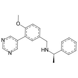 COc1ccc(CN[C@H](C)c2ccccc2)cc1-c1cncnc1